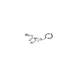 CC(=O)[C@H](COCc1ccccc1)NC(=O)OC(C)(C)C